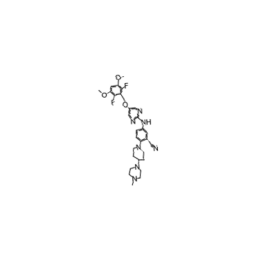 COc1cc(OC)c(F)c(COc2cnc(Nc3ccc(N4CCC(N5CCN(C)CC5)CC4)c(C#N)c3)nc2)c1F